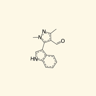 Cc1nn(C)c(-c2c[nH]c3ccccc23)c1C=O